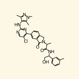 Cc1cccc(C(CO)NC(=O)C(C)N2Cc3ccc(-c4nc(Nc5c(C)nn(C)c5C)ncc4Cl)cc3C2=O)c1